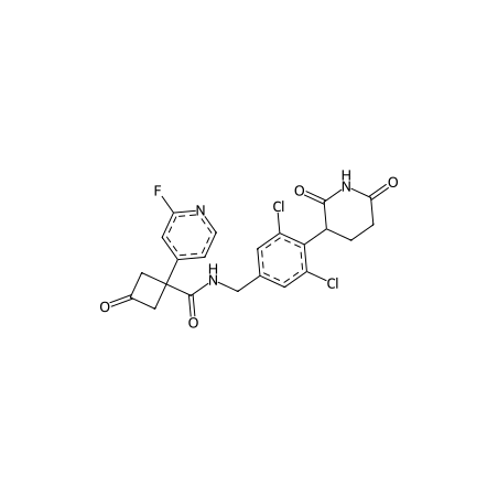 O=C1CC(C(=O)NCc2cc(Cl)c(C3CCC(=O)NC3=O)c(Cl)c2)(c2ccnc(F)c2)C1